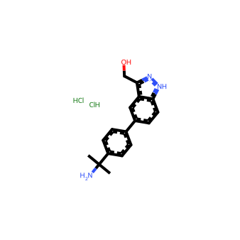 CC(C)(N)c1ccc(-c2ccc3[nH]nc(CO)c3c2)cc1.Cl.Cl